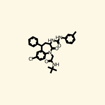 Cc1cccc(NC(=O)NC2CC(c3ccccc3)c3cc(Cl)ccc3N(CC(=O)NC(C)(C)C)C2=O)c1